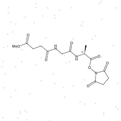 COC(=O)CCC(=O)NCC(=O)N[C@@H](C)C(=O)ON1C(=O)CCC1=O